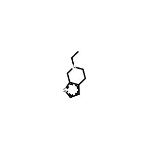 CCN1CCc2ccsc2C1